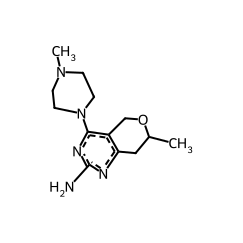 CC1Cc2nc(N)nc(N3CCN(C)CC3)c2CO1